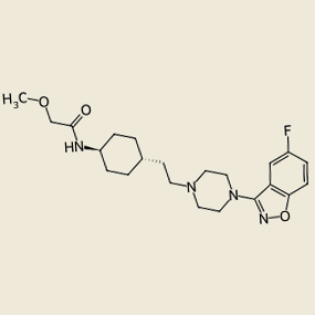 COCC(=O)N[C@H]1CC[C@H](CCN2CCN(c3noc4ccc(F)cc34)CC2)CC1